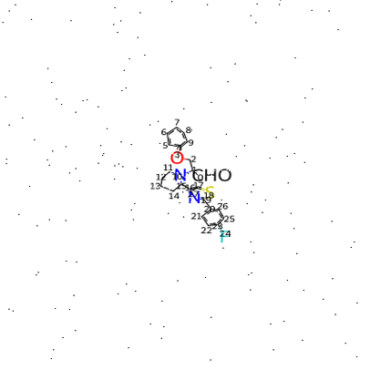 O=CC(COc1ccccc1)N1CCCCC1c1csc(-c2ccc(F)cc2)n1